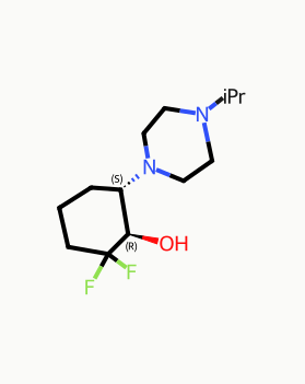 CC(C)N1CCN([C@H]2CCCC(F)(F)[C@@H]2O)CC1